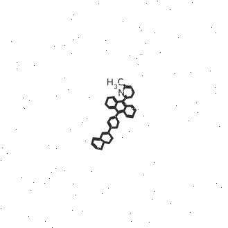 CC1=CCCC(c2c3c(c(C4=CC=C(C5=CC6=CC=CCC6CC5)CC4)c4ccccc24)=CCCC=3)=N1